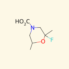 CC1CN(C(=O)O)CC(C)(F)O1